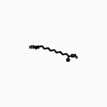 CCCCCCCCCCCCCCCCC(C)Br